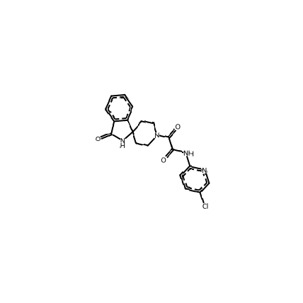 O=C(Nc1ccc(Cl)cn1)C(=O)N1CCC2(CC1)NC(=O)c1ccccc12